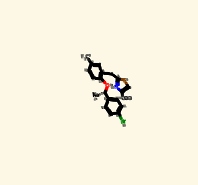 O=C([O-])c1csc(Cc2cc(C(F)(F)F)ccc2OCc2ccc(Br)cc2)n1.[Na+]